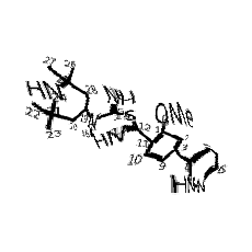 COc1cc(-c2ccn[nH]2)ccc1C(=N)SC(=N)N(C)C1CC(C)(C)NC(C)(C)C1